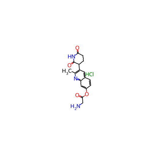 Cc1nc2cc(OC(=O)CN)ccc2cc1C1CCC(=O)NC1=O.Cl